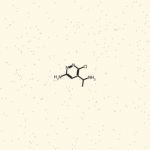 CC(N)c1cc(N)nnc1Cl